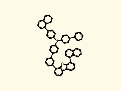 c1ccc(-c2ccc(N(c3ccc(-c4cccc(-c5cccc6c5oc5c(-c7cccc8ccccc78)cccc56)c4)cc3)c3ccc(-c4cccc5ccccc45)cc3)cc2)cc1